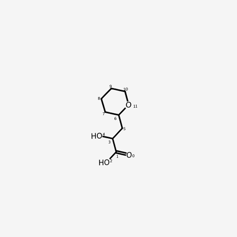 O=C(O)C(O)CC1CCCCO1